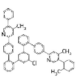 Cc1cc(-c2ccc(-c3ccccc3-c3cc(Cl)cc(-c4ccccc4-c4ccc(-c5cc(C)c(C6C=CC=CC6C)cn5)cc4)c3)cc2)ncc1-c1ccccc1